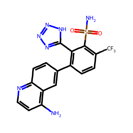 Nc1ccnc2ccc(-c3ccc(C(F)(F)F)c(S(N)(=O)=O)c3-c3nnn[nH]3)cc12